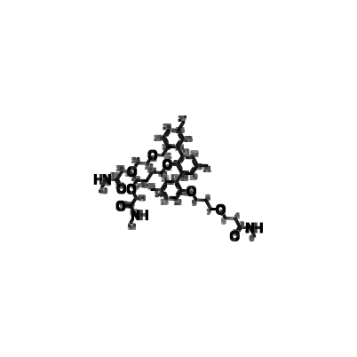 CNC(=O)CCOCCCOc1ccc(C)cc1-c1cc(C)cc(-c2cc(C)ccc2COCCOCC(=O)NC)c1OCCCCOCC(=O)NC